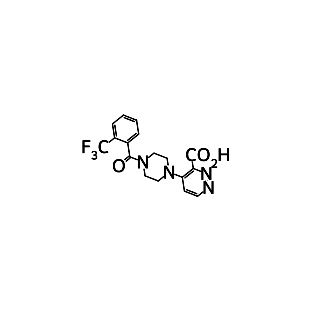 O=C(O)c1nnccc1N1CCN(C(=O)c2ccccc2C(F)(F)F)CC1